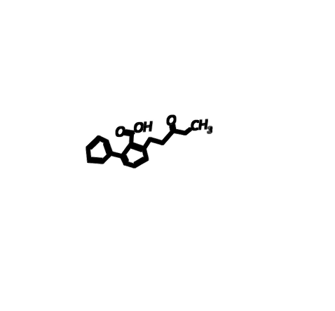 CCC(=O)CCc1cccc(-c2ccccc2)c1C(=O)O